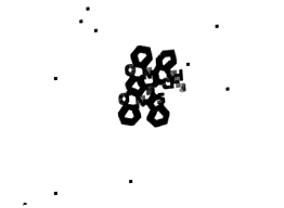 CC1=C(c2ccccc2S)n2c3ccccc3oc3cc4oc5ccccc5n5c4c(c32)B1c1sc2ccccc2c1-5